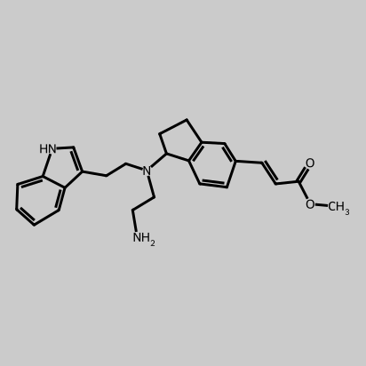 COC(=O)/C=C/c1ccc2c(c1)CCC2N(CCN)CCc1c[nH]c2ccccc12